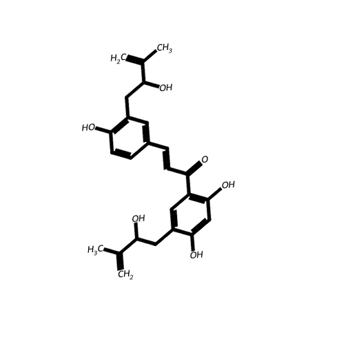 C=C(C)C(O)Cc1cc(/C=C/C(=O)c2cc(CC(O)C(=C)C)c(O)cc2O)ccc1O